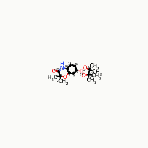 CC1(C)Oc2cc(B3OC(C)(C)C(C)(C)O3)ccc2NC1=O